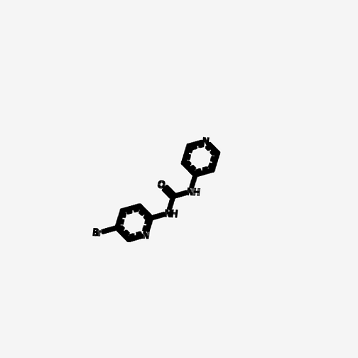 O=C(Nc1ccncc1)Nc1ccc(Br)cn1